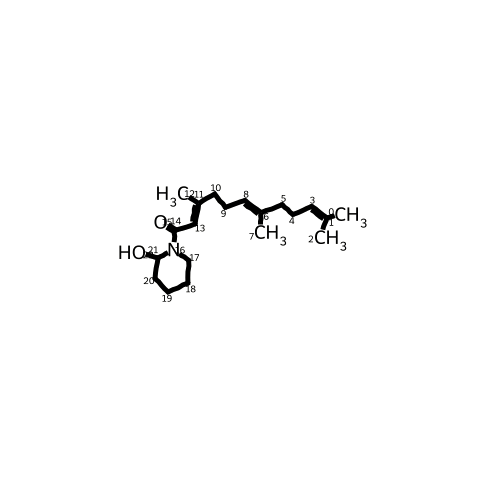 CC(C)=CCC/C(C)=C/CC/C(C)=C/C(=O)N1CCCCC1O